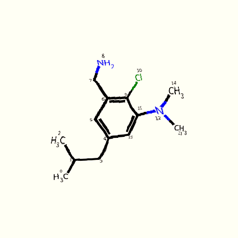 CC(C)Cc1cc(CN)c(Cl)c(N(C)C)c1